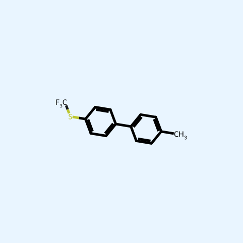 Cc1ccc(-c2ccc(SC(F)(F)F)cc2)cc1